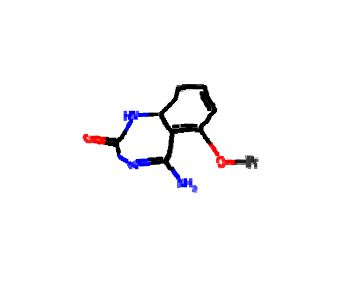 CC(C)OC1=C2C(N)=NC(=O)NC2CC=C1